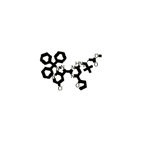 COC(=O)C[C@@H](Nc1cc(-c2ccco2)nc(-c2nn(C(c3ccccc3)(c3ccccc3)c3ccccc3)c3ncc(Cl)cc23)n1)C(C)(C)C